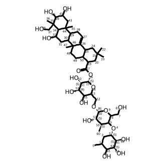 CC1C[C@H](OC2C(CO)O[C@@H](OCC3O[C@@H](OC(=O)C4CC(C)(C)CC5C6=CCC7C(CC(O)C8C(C)(CO)C(O)C(O)CC78C)C6(C)CCC45)[C@@H](O)[C@H](O)C3O)[C@@H](O)[C@@H]2C)[C@@H](O)[C@@H](O)C1O